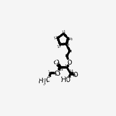 CCOC(=O)C(OCCC1CCCC1)C(=O)O